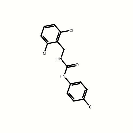 O=C(NCc1c(Cl)cccc1Cl)Nc1ccc(Cl)cc1